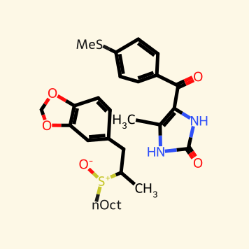 CCCCCCCC[S+]([O-])C(C)Cc1ccc2c(c1)OCO2.CSc1ccc(C(=O)c2[nH]c(=O)[nH]c2C)cc1